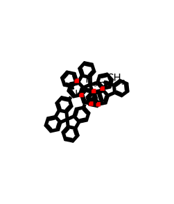 CC1(C)c2ccccc2-c2ccc(N(c3ccc4c(c3)C3(c5ccccc5-c5ccc(N(c6ccccc6)c6ccccc6)cc53)c3ccccc3-4)c3cccc4c3C(c3ccccc3)(c3ccccc3)c3ccccc3-4)cc21